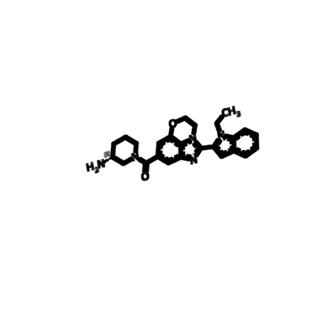 CCn1c(-c2nc3cc(C(=O)N4CCC[C@@H](N)C4)cc4c3n2CCO4)cc2ccccc21